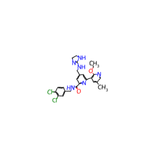 CCOc1ncc(C)cc1-c1cc(CNC2=NCCN2)cc(C(=O)NCc2ccc(Cl)c(Cl)c2)n1